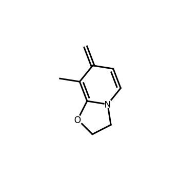 C=C1C=CN2CCOC2=C1C